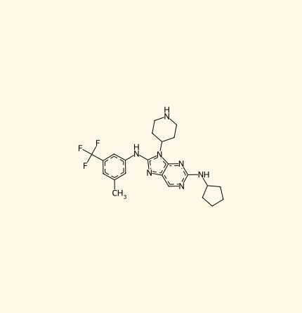 Cc1cc(Nc2nc3cnc(NC4CCCC4)nc3n2C2CCNCC2)cc(C(F)(F)F)c1